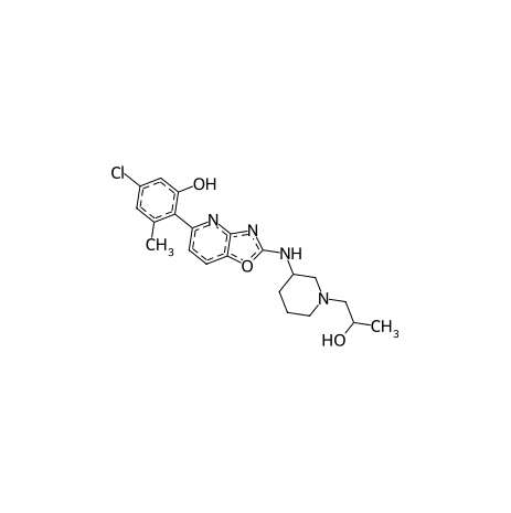 Cc1cc(Cl)cc(O)c1-c1ccc2oc(NC3CCCN(CC(C)O)C3)nc2n1